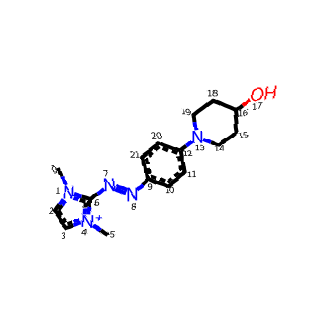 Cn1cc[n+](C)c1/N=N/c1ccc(N2CCC(O)CC2)cc1